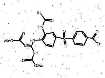 CCC(=O)Nc1cc(S(=O)(=O)c2ccc(C(=O)CC)cc2)ccc1NC(=NC(=O)OC)NC(=O)OC